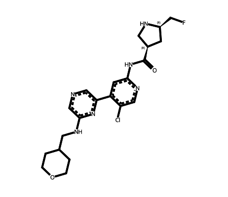 O=C(Nc1cc(-c2cncc(NCC3CCOCC3)n2)c(Cl)cn1)[C@H]1CN[C@@H](CF)C1